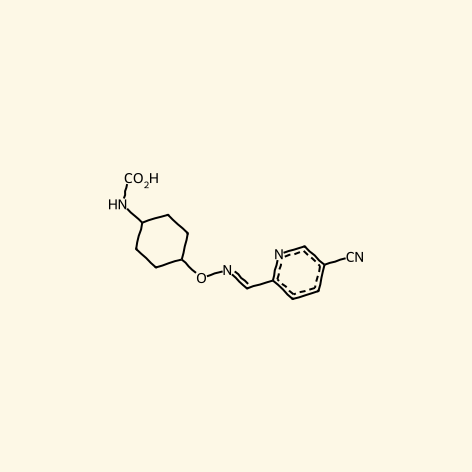 N#Cc1ccc(/C=N/OC2CCC(NC(=O)O)CC2)nc1